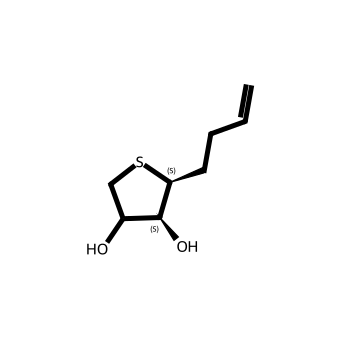 C=CCC[C@@H]1SCC(O)[C@@H]1O